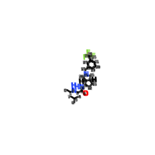 CCN[C@@H](CC(C)C)C(=O)N[C@H]1CC[C@@H]2CN(Cc3cccc(C(F)(F)F)c3)C[C@@H]21